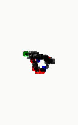 CN1CC/C=C/[C@H](O[Si](C)(C)C(C)(C)C)[C@@H]2CC[C@H]2CN2C[C@@]3(CCCc4cc(Cl)ccc43)COc3ccc(cc32)[C@H](C(=O)O)CC1=O